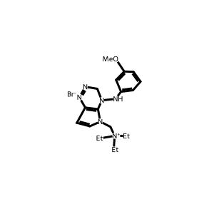 CC[N+](CC)(CC)Cn1ccc2c1N(Nc1cccc(OC)c1)CN=N2.[Br-]